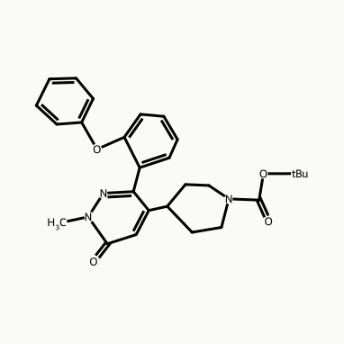 Cn1nc(-c2ccccc2Oc2ccccc2)c(C2CCN(C(=O)OC(C)(C)C)CC2)cc1=O